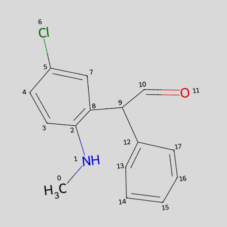 CNc1ccc(Cl)cc1C(C=O)c1ccccc1